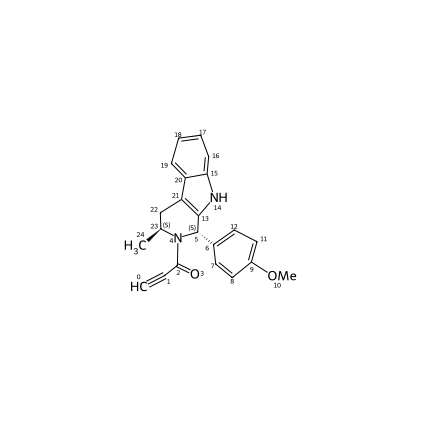 C#CC(=O)N1[C@@H](c2ccc(OC)cc2)c2[nH]c3ccccc3c2C[C@@H]1C